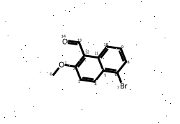 COc1ccc2c(Br)cccc2c1C=O